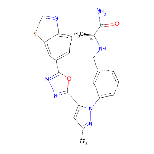 C[C@H](NCc1cccc(-n2nc(C(F)(F)F)cc2-c2nnc(-c3ccc4ncsc4c3)o2)c1)C(N)=O